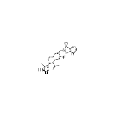 C=CC/C=C(CN1Cc2ncccc2C1=O)\C(F)=C/C/C(=C/c1cn[nH]c1C)C(=C)C